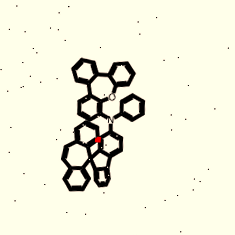 C1=Cc2ccccc2C2(c3ccccc31)c1ccccc1-c1ccc(N(c3ccccc3)c3cccc4c3Oc3ccccc3-c3ccccc3-4)cc12